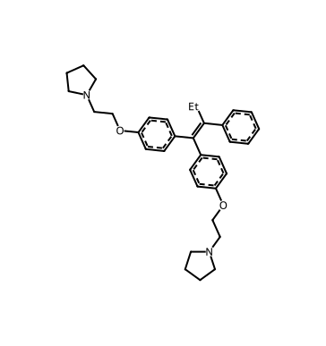 CCC(=C(c1ccc(OCCN2CCCC2)cc1)c1ccc(OCCN2CCCC2)cc1)c1ccccc1